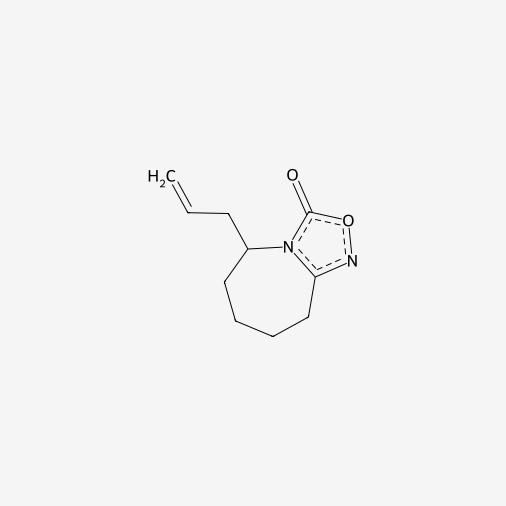 C=CCC1CCCCc2noc(=O)n21